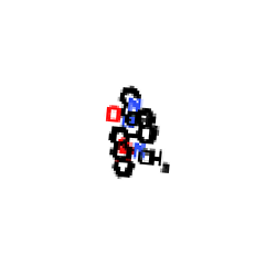 CN(C(=O)c1ccccc1)c1ccc2ccccc2c1-c1c(N(C)C(=O)c2ccccn2)ccc2ccccc12